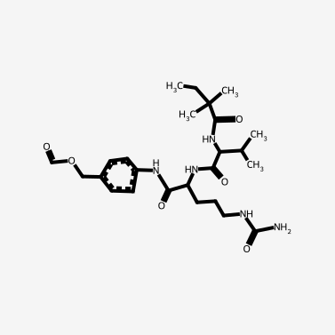 CCC(C)(C)C(=O)NC(C(=O)NC(CCCNC(N)=O)C(=O)Nc1ccc(COC=O)cc1)C(C)C